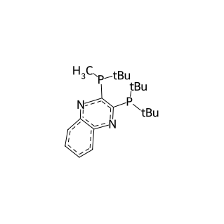 CP(c1nc2ccccc2nc1P(C(C)(C)C)C(C)(C)C)C(C)(C)C